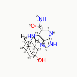 CNC(=O)c1cnc2[nH]cnc2c1NC1[C@@H]2CC3C[C@H]1CC(O)(C3)C2